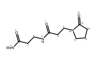 CNC(=O)CCNC(=O)CCN1CCCC1=O